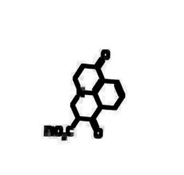 CCOC(=O)C1CN2CCC(=O)C3=C2C(CC=C3)C1=O